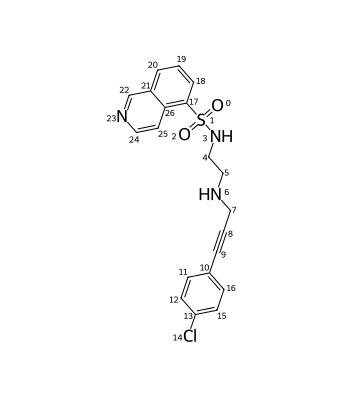 O=S(=O)(NCCNCC#Cc1ccc(Cl)cc1)c1cccc2cnccc12